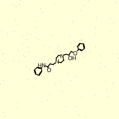 O=C(CCN1CCN(CC(O)COc2ccccc2)CC1)Nc1ccccc1